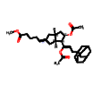 COC(=O)CCC/C=C1\C[C@@H]2C[C@H](OC(C)=O)[C@@H](C(=CCC34CC5CC(CC(C5)C3)C4)OC(C)=O)[C@@H]2C1